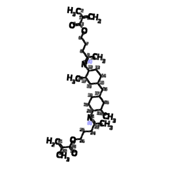 C=C(C)C(=O)OCCC/C(C)=N/C1CCC(CC2CCC(/N=C(\C)CCCOC(=O)C(=C)C)C(C)C2)CC1C